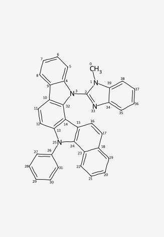 Cn1c(-n2c3ccccc3c3ccc4c(c5ccc6ccccc6c5n4-c4ccccc4)c32)nc2ccccc21